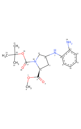 COC(=O)[C@@H]1CC(Nc2ccccc2N)CN1C(=O)OC(C)(C)C